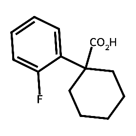 O=C(O)C1(c2ccccc2F)CCCCC1